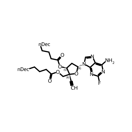 C#C[C@]1(COC(=O)CCCCCCCCCCCCC)O[C@@H](n2cnc3c(N)nc(F)nc32)C[C@@H]1OC(=O)CCCCCCCCCCCCC